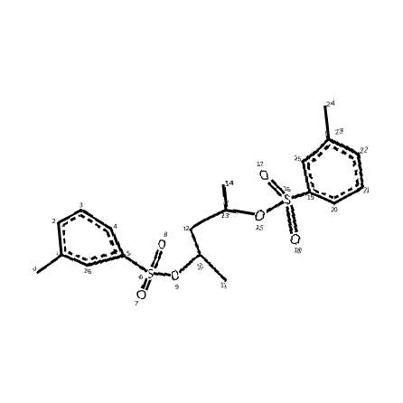 Cc1cccc(S(=O)(=O)OC(C)CC(C)OS(=O)(=O)c2cccc(C)c2)c1